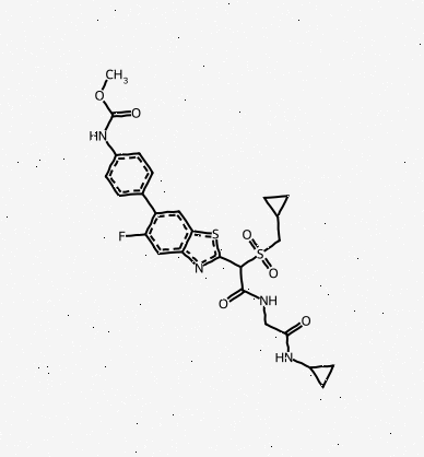 COC(=O)Nc1ccc(-c2cc3sc(C(C(=O)NCC(=O)NC4CC4)S(=O)(=O)CC4CC4)nc3cc2F)cc1